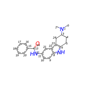 CN(C)C1CCc2[nH]c3ccc(NC(=O)c4ccccc4)cc3c2C1